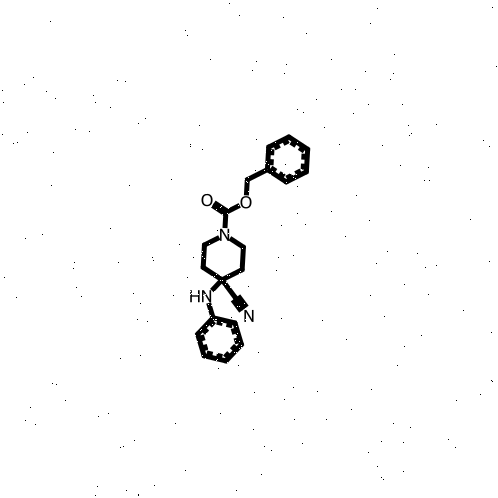 N#CC1(Nc2ccccc2)CCN(C(=O)OCc2ccccc2)CC1